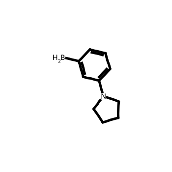 Bc1cccc(N2CCCC2)c1